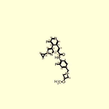 COC1CN(Cc2ccc(NC(=O)/C=C/c3cncc(F)c3-c3cnn(C4CC4)c3)c(F)c2)C1